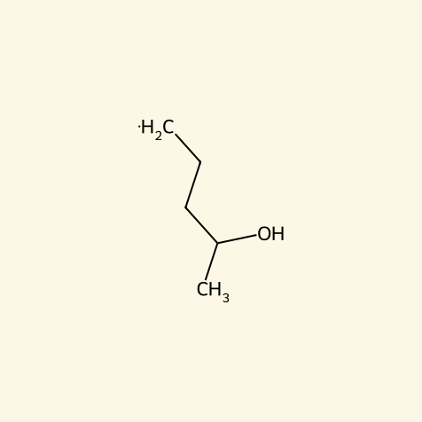 [CH2]CCC(C)O